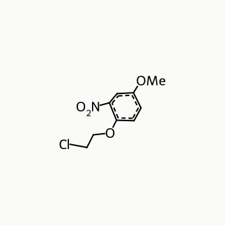 COc1ccc(OCCCl)c([N+](=O)[O-])c1